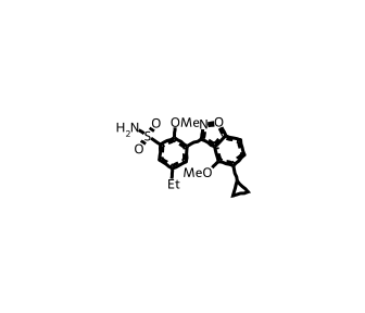 CCc1cc(-c2noc3ccc(C4CC4)c(OC)c23)c(OC)c(S(N)(=O)=O)c1